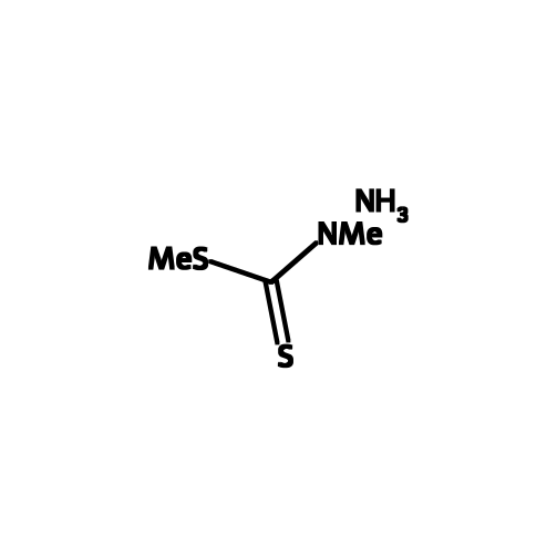 CNC(=S)SC.N